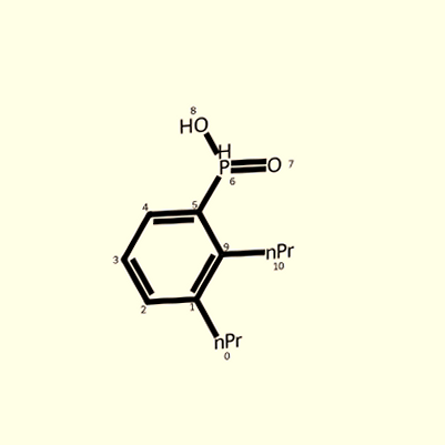 CCCc1cccc([PH](=O)O)c1CCC